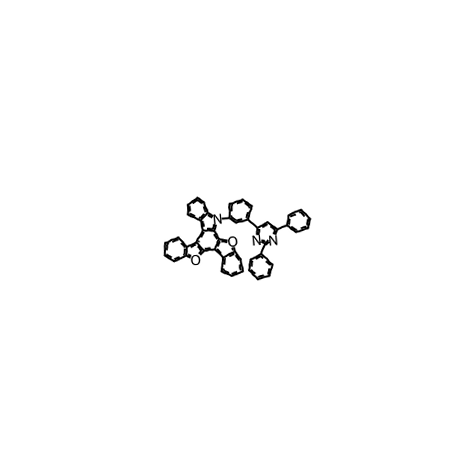 c1ccc(-c2cc(-c3cccc(-n4c5ccccc5c5c6c7ccccc7oc6c6c7ccccc7oc6c54)c3)nc(-c3ccccc3)n2)cc1